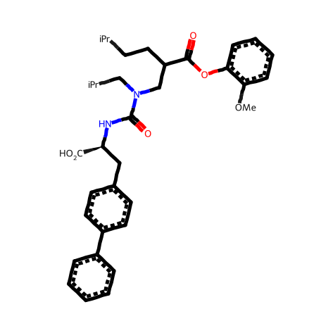 COc1ccccc1OC(=O)C(CCC(C)C)CN(CC(C)C)C(=O)N[C@@H](Cc1ccc(-c2ccccc2)cc1)C(=O)O